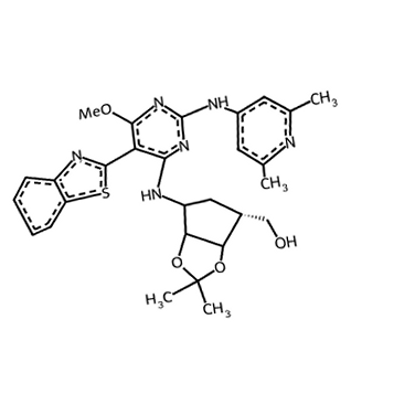 COc1nc(Nc2cc(C)nc(C)c2)nc(NC2C[C@H](CO)C3OC(C)(C)OC23)c1-c1nc2ccccc2s1